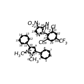 Cn1c(-c2ccccc2)cc(-c2ccccc2)[n+]1C.Nc1c([N+](=O)[O-])cnn1-c1c(Cl)cc(C(F)(F)F)cc1Cl